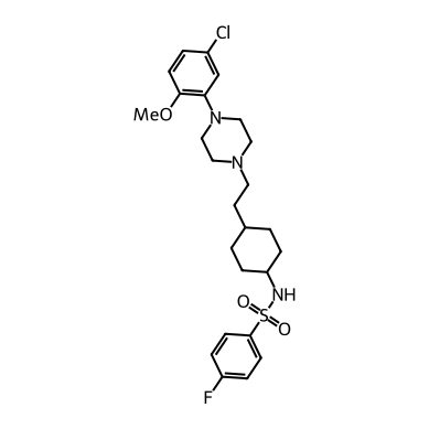 COc1ccc(Cl)cc1N1CCN(CCC2CCC(NS(=O)(=O)c3ccc(F)cc3)CC2)CC1